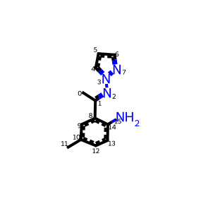 C/C(=N\n1cccn1)c1cc(C)ccc1N